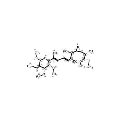 CC[C@H](OC)[C@@H](C)[C@H]1CC1[C@H](O)[C@@H](C)/C=C/C=C(\C)[C@@H]1O[C@H](OC)[C@H](OC)[C@@H](OC)[C@H]1OC